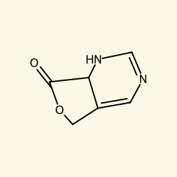 O=C1OCC2=CN=CNC12